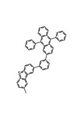 Cc1ccc2sc3ccc(-c4cccc(-c5ccc6c(-c7ccccc7)c7ccccc7c(-c7ccccc7)c6c5)c4)cc3c2c1